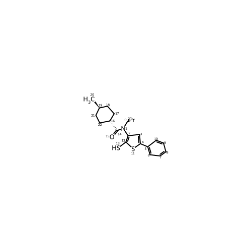 CC(C)N(c1cc(-c2ccccc2)sc1S)C(=O)[C@H]1CC[C@H](C)CC1